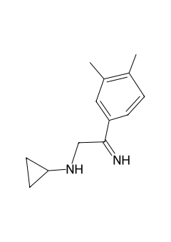 Cc1ccc(C(=N)CNC2CC2)cc1C